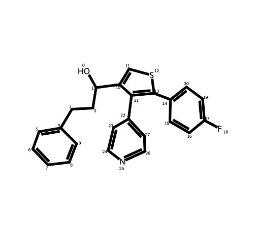 OC(CCc1ccccc1)c1csc(-c2ccc(F)cc2)c1-c1ccncc1